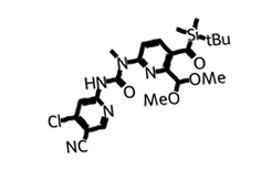 COC(OC)c1nc(N(C)C(=O)Nc2cc(Cl)c(C#N)cn2)ccc1C(=O)[Si](C)(C)C(C)(C)C